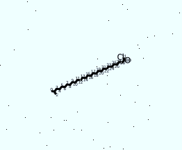 CC(C)CCCCCCCCCCCCCCCCCCCCCCCCCCC(=O)Cl